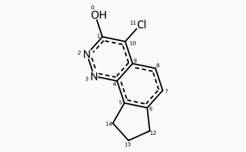 Oc1nnc2c3c(ccc2c1Cl)CCC3